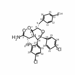 CCC[C@H](C(N)=O)N1C(=O)[C@H](Cc2ccc(F)cc2)O[C@@H](c2ccc(Cl)cc2)[C@H]1c1ccc(Cl)cc1